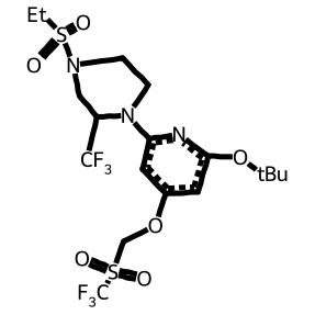 CCS(=O)(=O)N1CCN(c2cc(OCS(=O)(=O)C(F)(F)F)cc(OC(C)(C)C)n2)C(C(F)(F)F)C1